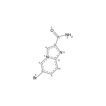 NC(=O)c1cn2cc(Br)ccc2n1